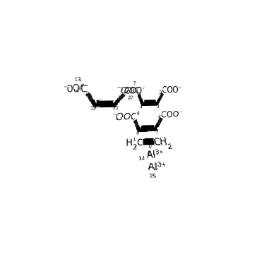 C=C.O=C([O-])/C=C\C(=O)[O-].O=C([O-])/C=C\C(=O)[O-].O=C([O-])/C=C\C(=O)[O-].[Al+3].[Al+3]